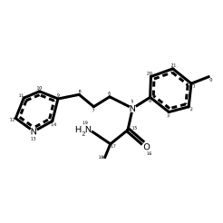 Cc1ccc(N(CCCc2cccnc2)C(=O)C(C)N)cc1